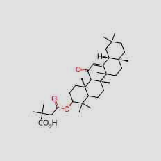 CC1(C)CC[C@]2(C)CCC3(C)C(=CC(=O)C4[C@@]5(C)CC[C@H](OC(=O)CC(C)(C)C(=O)O)C(C)(C)C5CC[C@]43C)[C@@H]2C1